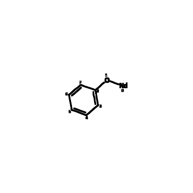 [Nd][O]c1ccccc1